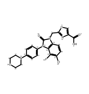 O=C(O)c1coc(Cn2c(=O)n(-c3ccc(N4CCOCC4)cc3)c3c(F)c(Cl)ccc32)n1